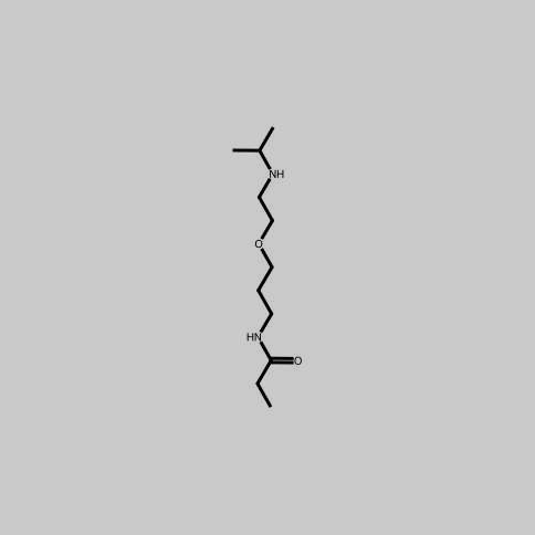 CCC(=O)NCCCOCCNC(C)C